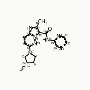 Cc1nc2ccc(N3CC[C@H](F)C3)nn2c1C(=O)Nc1cnccn1